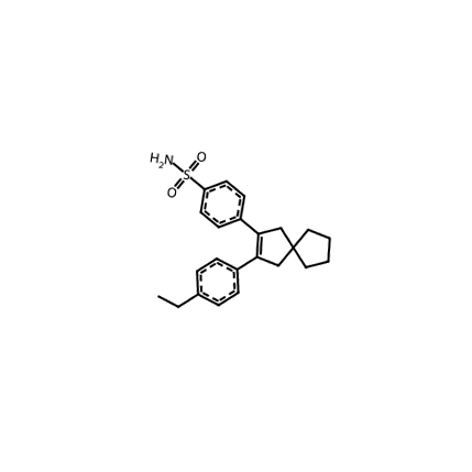 CCc1ccc(C2=C(c3ccc(S(N)(=O)=O)cc3)CC3(CCCC3)C2)cc1